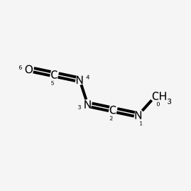 CN=C=NN=C=O